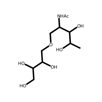 CC(=O)NC(COCC(O)C(O)CO)C(O)C(C)O